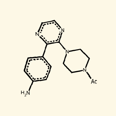 CC(=O)N1CCN(c2nccnc2-c2ccc(N)cc2)CC1